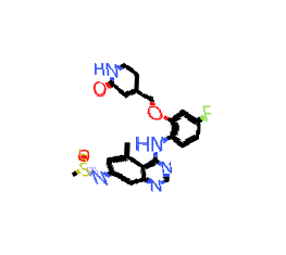 Cc1cc(/N=[SH](/C)=O)cc2ncnc(Nc3ccc(F)cc3OCC3CCNC(=O)C3)c12